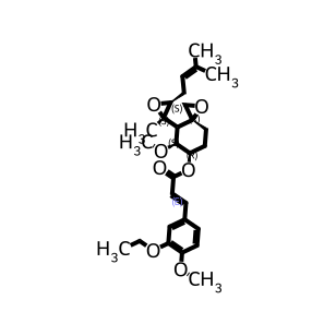 CCOc1cc(/C=C/C(=O)O[C@@H]2CC[C@]3(CO3)C([C@]3(C)O[C@H]3CC=C(C)C)[C@@H]2OC)ccc1OC